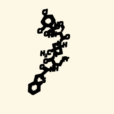 CC(C)CC(NC(=O)c1cc2ccccc2s1)C(=O)N1C[C@H]2N(C(=O)[C@@H](CO)NS(=O)(=O)c3ccc(Cl)cc3Cl)CC21C